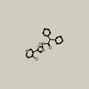 O=C(Nc1ncc(-c2cnccc2Cl)s1)C(c1ccccc1)c1ccccc1